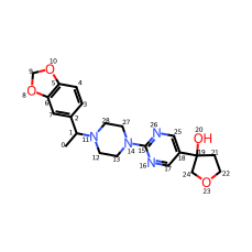 CC(c1ccc2c(c1)OCO2)N1CCN(c2ncc(C3(O)CCOC3)cn2)CC1